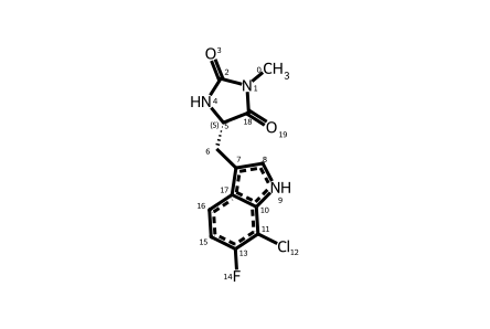 CN1C(=O)N[C@@H](Cc2c[nH]c3c(Cl)c(F)ccc23)C1=O